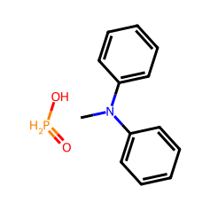 CN(c1ccccc1)c1ccccc1.O=[PH2]O